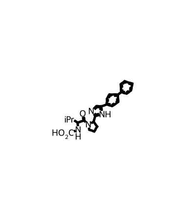 CC(C)C(NC(=O)O)C(=O)N1CCCC1c1ncc(-c2ccc(-c3ccccc3)cc2)[nH]1